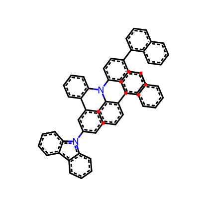 c1cc(-c2ccccc2N(c2ccccc2-c2cccc3ccccc23)c2ccc(-c3cccc4ccccc34)c3ccccc23)cc(-n2c3ccccc3c3ccccc32)c1